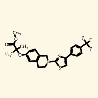 COC(=O)C(C)(C)Oc1ccc2c(c1)CCN(c1nc(-c3ccc(C(F)(F)F)cc3)cs1)C2